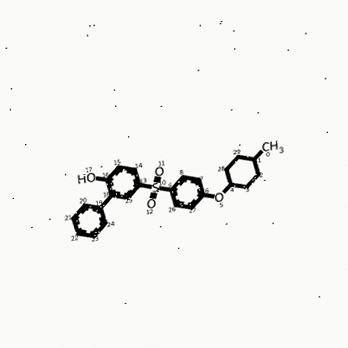 CC1CCC(Oc2ccc(S(=O)(=O)c3ccc(O)c(-c4ccccc4)c3)cc2)CC1